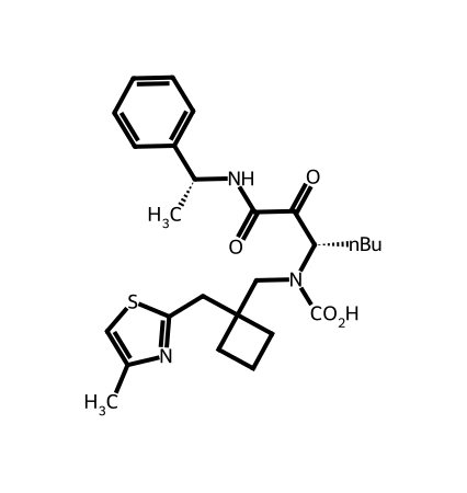 CCCC[C@@H](C(=O)C(=O)N[C@H](C)c1ccccc1)N(CC1(Cc2nc(C)cs2)CCC1)C(=O)O